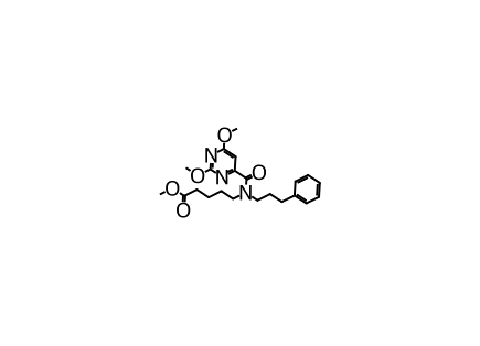 COC(=O)CCCCN(CCCc1ccccc1)C(=O)c1cc(OC)nc(OC)n1